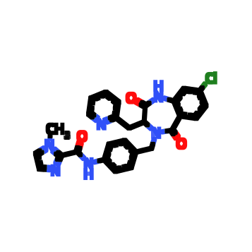 Cn1ccnc1C(=O)Nc1ccc(CN2C(=O)c3ccc(Cl)cc3NC(=O)C2Cc2ccccn2)cc1